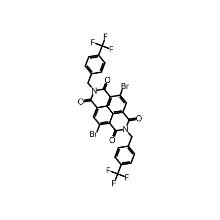 O=C1c2cc(Br)c3c4c(cc(Br)c(c24)C(=O)N1Cc1ccc(C(F)(F)F)cc1)C(=O)N(Cc1ccc(C(F)(F)F)cc1)C3=O